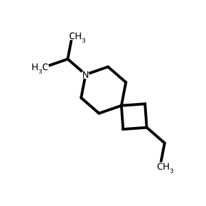 CCC1CC2(CCN(C(C)C)CC2)C1